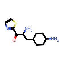 NC1CCC(CC(N)C(=O)c2nccs2)CC1